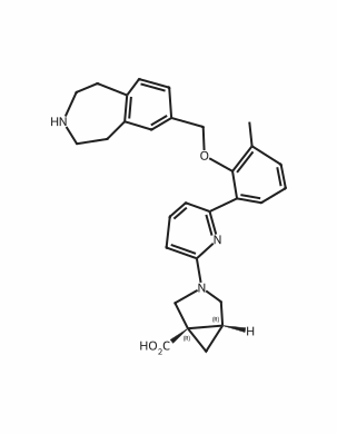 Cc1cccc(-c2cccc(N3C[C@@H]4C[C@]4(C(=O)O)C3)n2)c1OCc1ccc2c(c1)CCNCC2